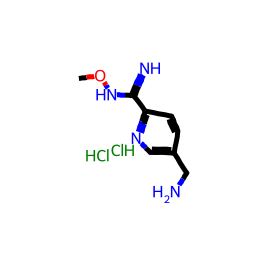 CONC(=N)c1ccc(CN)cn1.Cl.Cl